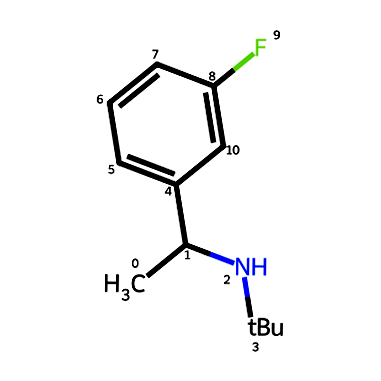 CC(NC(C)(C)C)c1cccc(F)c1